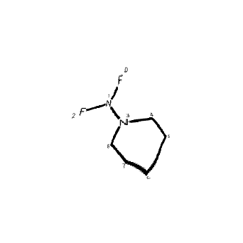 FN(F)N1CCCCC1